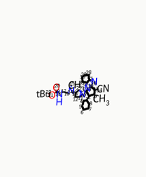 Cc1c(-c2ccccc2)c(N2CC[C@H](N(C)CCNC(=O)OC(C)(C)C)C2)n2c(nc3ccccc32)c1C#N